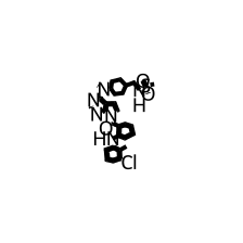 Cc1c(Cl)cccc1Nc1ccccc1C(=O)n1ccc2c(N(C)C3CCC(CNS(C)(=O)=O)CC3)ncnc21